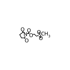 CS(=O)(=O)CCOC(=O)N1C(=O)CCC1=O